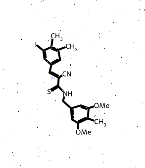 COc1cc(CNC(=S)/C(C#N)=C/c2cc(C)c(C)c(I)c2)cc(OC)c1C